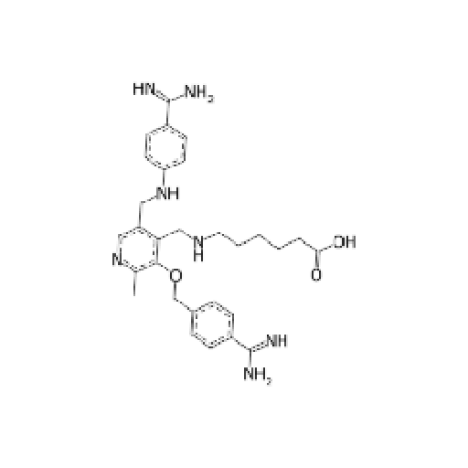 Cc1ncc(CNc2ccc(C(=N)N)cc2)c(CNCCCCCC(=O)O)c1OCc1ccc(C(=N)N)cc1